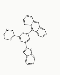 c1cncc(-c2cc(-c3cc4ccccc4s3)cc(-c3c4ccccc4cc4ccccc34)c2)c1